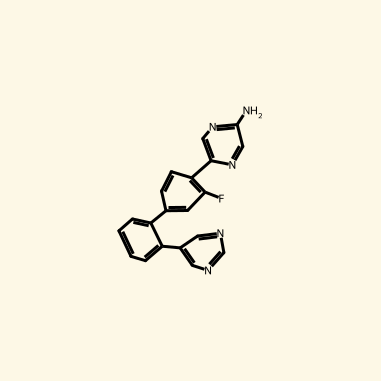 Nc1cnc(-c2ccc(-c3ccccc3-c3cncnc3)cc2F)cn1